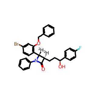 [2H][C@]1(CC[C@H](O)c2ccc(F)cc2)C(=O)N(c2ccccc2)[C@]1([2H])c1ccc(Br)cc1OCc1ccccc1